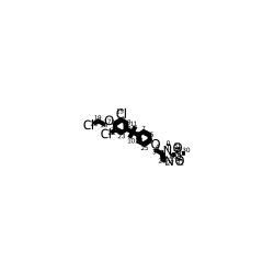 Cn1c(COc2ccc(C(C)(C)c3cc(Cl)c(OCCCl)c(Cl)c3)cc2)cnc1S(C)(=O)=O